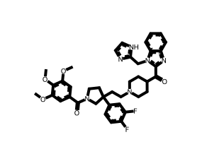 COc1cc(C(=O)N2CCC(CCN3CCC(C(=O)c4nc5ccccc5n4Cc4ncc[nH]4)CC3)(c3ccc(F)c(F)c3)C2)cc(OC)c1OC